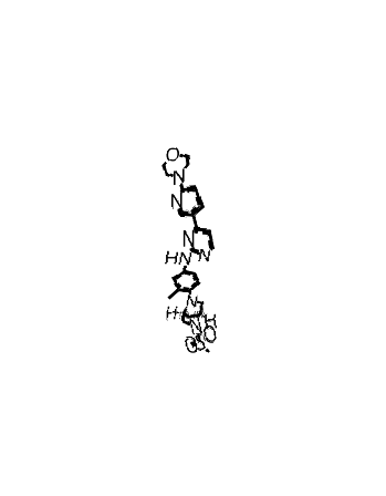 Cc1cc(Nc2nccc(-c3ccc(N4CCOCC4)nc3)n2)ccc1N1C[C@@H]2C[C@H]1CN2S(C)(=O)=O